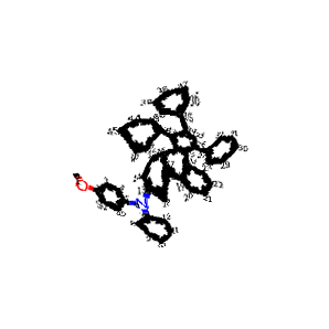 COc1ccc(N(c2ccccc2)c2ccc3c(c2)c2ccccc2c2c(-c4ccccc4)cc(-c4ccccc4)c(-c4ccccc4)c32)cc1